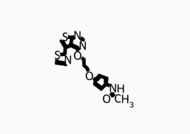 CC(=O)Nc1ccc(OCCCOc2ncnc3scc(-c4nccs4)c23)cc1